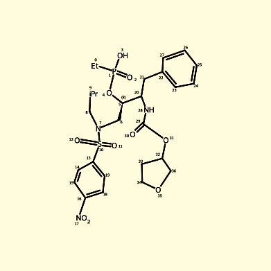 CCP(=O)(O)O[C@H](CN(CC(C)C)S(=O)(=O)c1ccc([N+](=O)[O-])cc1)C(Cc1ccccc1)NC(=O)OC1CCOC1